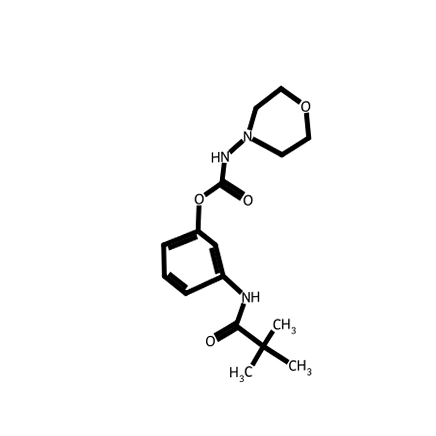 CC(C)(C)C(=O)Nc1cccc(OC(=O)NN2CCOCC2)c1